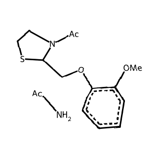 CC(N)=O.COc1ccccc1OCC1SCCN1C(C)=O